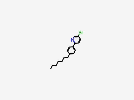 CCCCCCCc1ccc(-c2ccc(Br)cn2)cc1